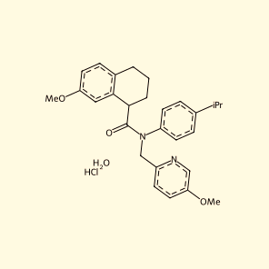 COc1ccc(CN(C(=O)C2CCCc3ccc(OC)cc32)c2ccc(C(C)C)cc2)nc1.Cl.O